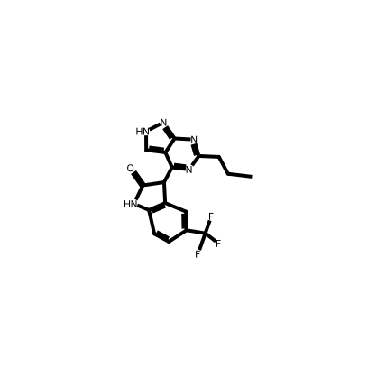 CCCc1nc(C2C(=O)Nc3ccc(C(F)(F)F)cc32)c2c[nH]nc2n1